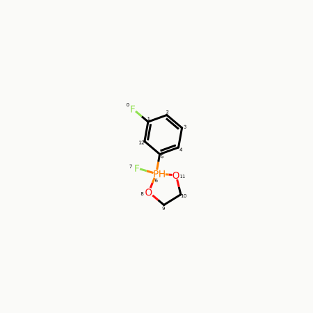 Fc1cccc([PH]2(F)OCCO2)c1